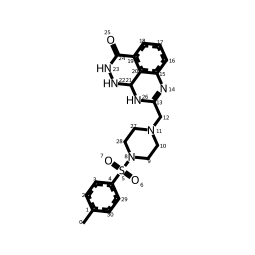 Cc1ccc(S(=O)(=O)N2CCN(CC3=Nc4cccc5c4C(NNC5=O)N3)CC2)cc1